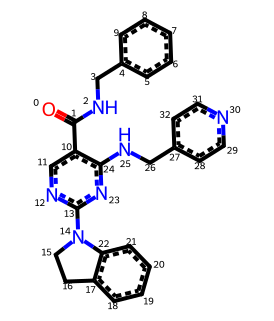 O=C(NCc1ccccc1)c1cnc(N2CCc3ccccc32)nc1NCc1ccncc1